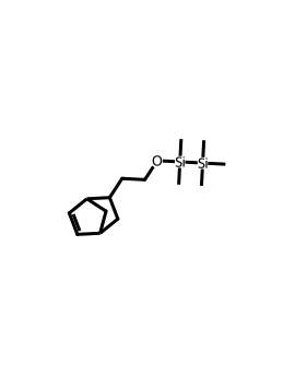 C[Si](C)(C)[Si](C)(C)OCCC1CC2C=CC1C2